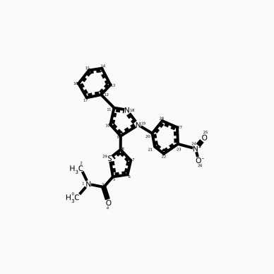 CN(C)C(=O)c1ccc(-c2cc(-c3ccccc3)nn2-c2ccc([N+](=O)[O-])cc2)s1